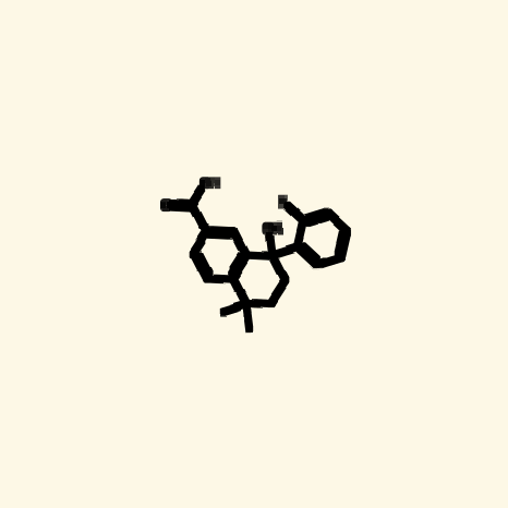 CC1(C)CCC(O)(c2ccccc2F)c2cc(C(=O)O)ccc21